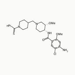 CCCC(=S)N1CCC(CN2CC[C@@H](NC(=O)c3cc(Cl)c(N)cc3OC)[C@@H](OC)C2)CC1